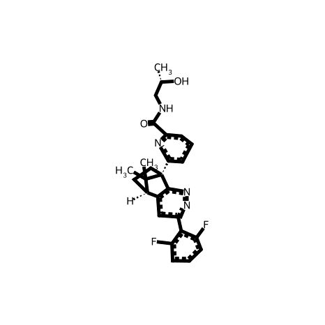 C[C@H](O)CNC(=O)c1cccc([C@]23CC[C@H](c4cc(-c5c(F)cccc5F)nnc42)C3(C)C)n1